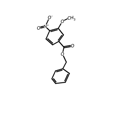 COc1cc(C(=O)OCc2ccccc2)ccc1[N+](=O)[O-]